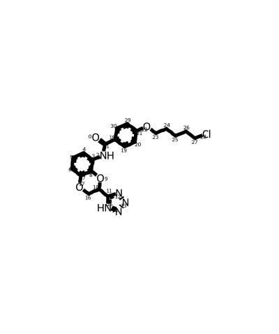 O=C(Nc1cccc2c1OC(c1nnn[nH]1)CO2)c1ccc(OCCCCCCl)cc1